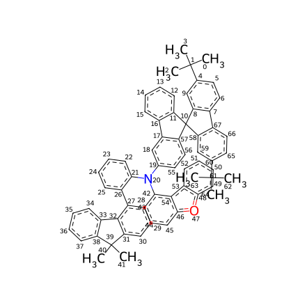 CC(C)(C)c1ccc2c(c1)C1(c3ccccc3-c3cc(N(c4ccccc4-c4cccc5c4-c4ccccc4C5(C)C)c4cccc5oc6ccccc6c45)ccc31)c1cc(C(C)(C)C)ccc1-2